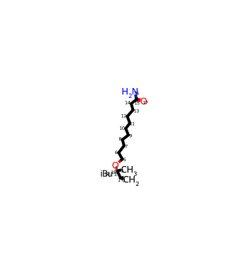 C=CC(C)(OCCCCCCCCCCC(N)=O)[C@H](C)CC